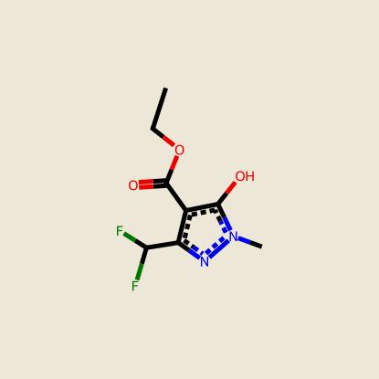 CCOC(=O)c1c(C(F)F)nn(C)c1O